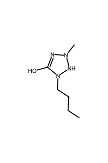 CCCCN1NN(C)N=C1O